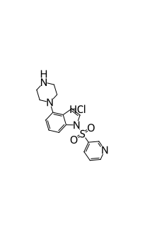 Cl.O=S(=O)(c1cccnc1)n1ccc2c(N3CCNCC3)cccc21